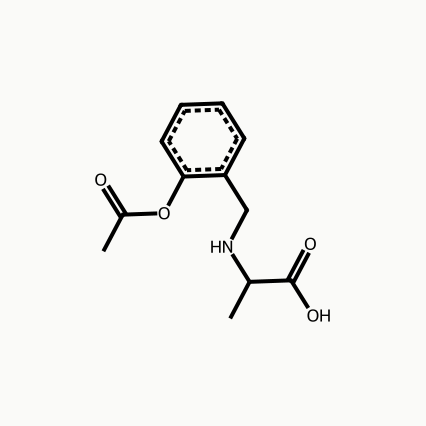 CC(=O)Oc1ccccc1CNC(C)C(=O)O